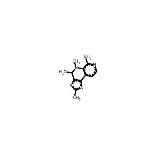 Cc1nc2c(s1)C(C)N(C)c1c-2ccnc1N